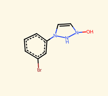 ON1C=CN(c2cccc(Br)c2)N1